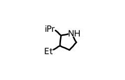 CCC1CCNC1C(C)C